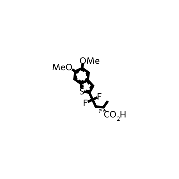 COc1cc2cc(C(F)(F)C[C@H](C)C(=O)O)sc2cc1OC